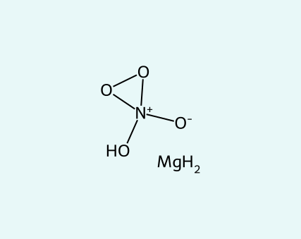 [MgH2].[O-][N+]1(O)OO1